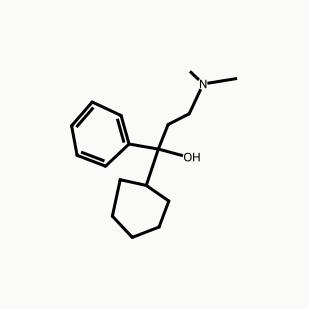 CN(C)CCC(O)(c1ccccc1)C1CCCCC1